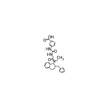 CCN(C(=O)CNC(=O)Nc1cccc(C(=O)O)c1)C1c2ccccc2CCC1Cc1ccccc1